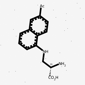 CC(=O)c1ccc2c(NC[C@H](N)C(=O)O)cccc2c1